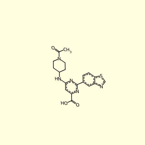 CC(=O)N1CCC(Nc2cc(C(=O)O)nc(-c3ccc4scnc4c3)n2)CC1